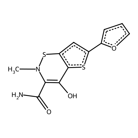 CN1Sc2cc(-c3ccco3)sc2C(O)=C1C(N)=O